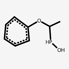 CC(Oc1ccccc1)PO